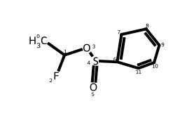 CC(F)OS(=O)c1ccccc1